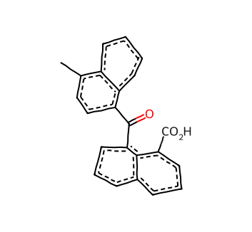 Cc1ccc(C(=O)c2cccc3cccc(C(=O)O)c23)c2ccccc12